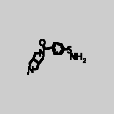 CN1CC2CN(C(=O)c3ccc(SN)cc3)CC2C1